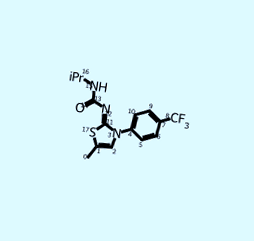 Cc1cn(-c2ccc(C(F)(F)F)cc2)c(=NC(=O)NC(C)C)s1